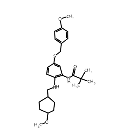 COc1ccc(CSc2ccc(NCC3CCC(OC)CC3)c(NC(=O)C(C)(C)C)c2)cc1